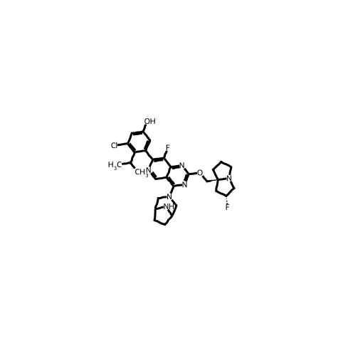 CC(C)c1c(Cl)cc(O)cc1-c1ncc2c(N3CC4CCC(C3)N4)nc(OC[C@@]34CCCN3C[C@H](F)C4)nc2c1F